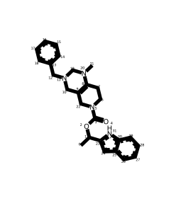 CC(OC(=O)N1CCC2=C(CN(Cc3ccccc3)CN2C)C1)c1cc2ccccc2[nH]1